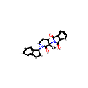 CC1(N2C(=O)c3ccccc3C2=O)CCCN(C2CCc3ccccc32)C1=O